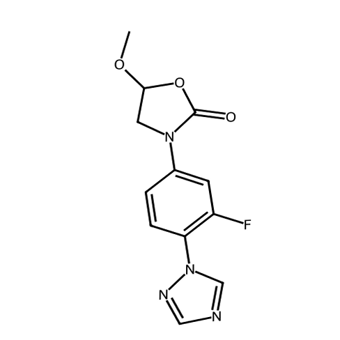 COC1CN(c2ccc(-n3cncn3)c(F)c2)C(=O)O1